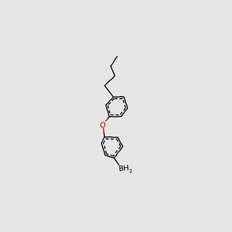 Bc1ccc(Oc2cccc(CCCC)c2)cc1